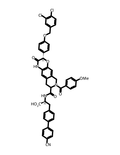 COc1ccc(C(=O)N2Cc3cc4c(cc3CC2C(=O)N[C@@H](Cc2ccc(-c3ccc(C#N)cc3)cc2)C(=O)O)NC(=O)[C@H](c2ccc(OCc3ccc(Cl)c(Cl)c3)cc2)O4)cc1